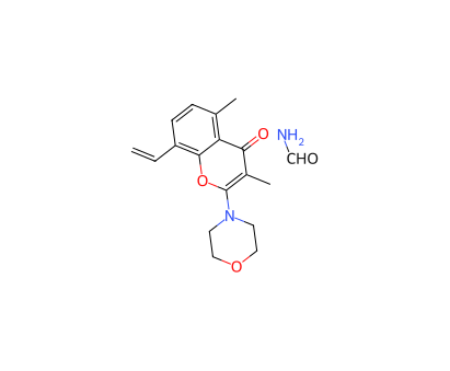 C=Cc1ccc(C)c2c(=O)c(C)c(N3CCOCC3)oc12.NC=O